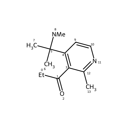 CCC(=O)c1c(C(C)(C)NC)ccnc1C